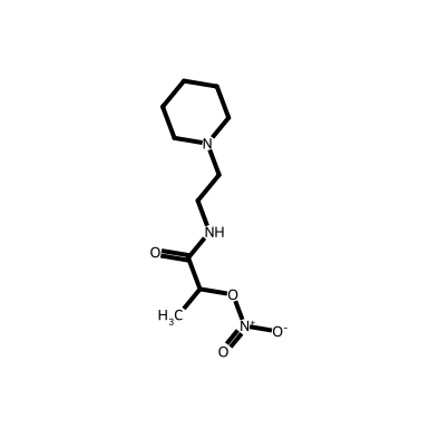 CC(O[N+](=O)[O-])C(=O)NCCN1CCCCC1